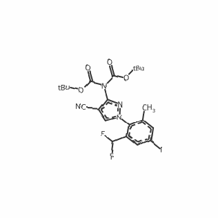 Cc1cc(I)cc(C(F)F)c1-n1cc(C#N)c(N(C(=O)OC(C)(C)C)C(=O)OC(C)(C)C)n1